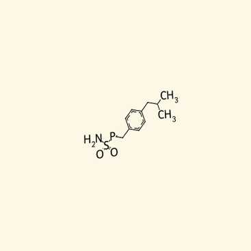 CC(C)Cc1ccc(C[P]S(N)(=O)=O)cc1